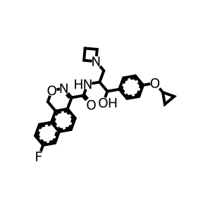 O=C(NC(CN1CCC1)C(O)c1ccc(OC2CC2)cc1)C1=NOCc2c1ccc1cc(F)ccc21